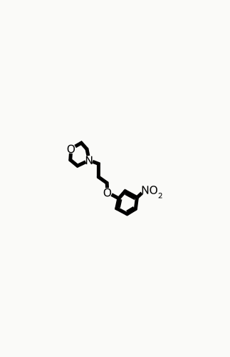 O=[N+]([O-])c1cccc(OCCCN2CCOCC2)c1